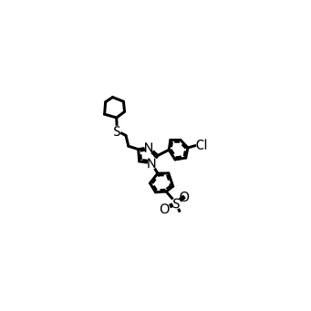 CS(=O)(=O)c1ccc(-n2cc(CCSC3CCCCC3)nc2-c2ccc(Cl)cc2)cc1